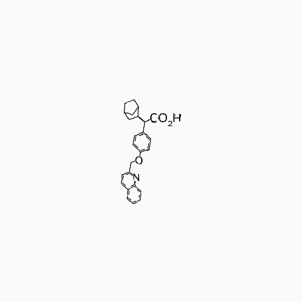 O=C(O)C(c1ccc(OCc2ccc3ccccc3n2)cc1)C1CC2CCC1C2